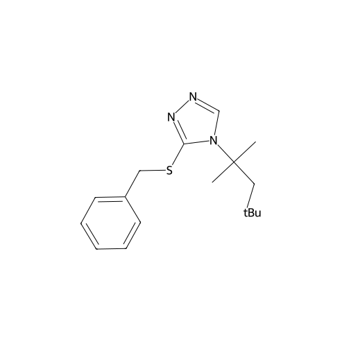 CC(C)(C)CC(C)(C)n1cnnc1SCc1ccccc1